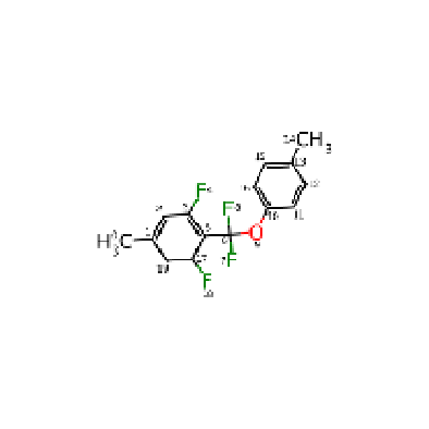 CC1=CC(F)=C(C(F)(F)Oc2ccc(C)cc2)C(F)C1